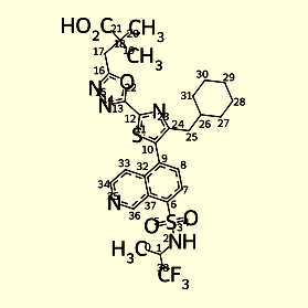 CC(NS(=O)(=O)c1ccc(-c2sc(-c3nnc(CC(C)(C)C(=O)O)o3)nc2CC2CCCCC2)c2ccncc12)C(F)(F)F